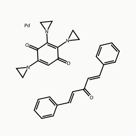 O=C(/C=C/c1ccccc1)/C=C/c1ccccc1.O=C1C=C(N2CC2)C(=O)C(N2CC2)=C1N1CC1.[Pd]